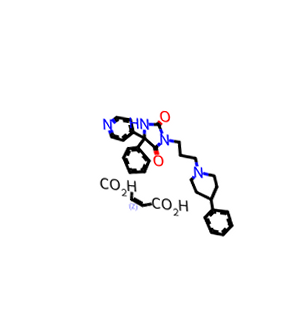 O=C(O)/C=C\C(=O)O.O=C1NC(c2ccccc2)(c2ccncc2)C(=O)N1CCCN1CCC(c2ccccc2)CC1